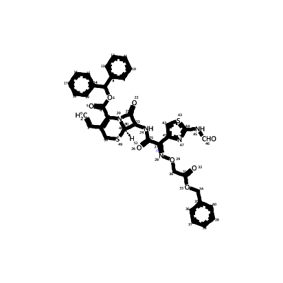 C=CC1=C(C(=O)OC(c2ccccc2)c2ccccc2)N2C(=O)C(NC(=O)/C(=N/OCC(=O)OCc3ccccc3)c3csc(NC=O)n3)[C@H]2SC1